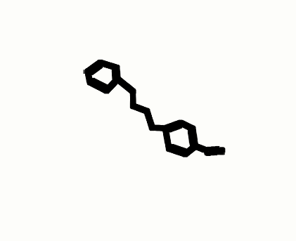 COc1ccc(CCCCc2cc[c]cc2)cc1